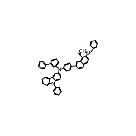 C=Nc1c(OCc2ccccc2)ccc2ccc(-c3ccc(N(c4cccc(-c5ccccc5)c4)c4ccc5c(c4)c4ccccc4n5-c4ccccc4)cc3)cc12